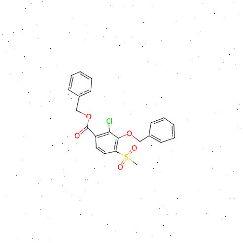 CS(=O)(=O)c1ccc(C(=O)OCc2ccccc2)c(Cl)c1OCc1ccccc1